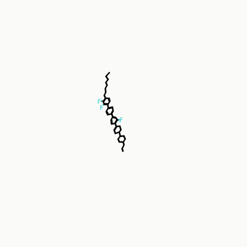 CCCCCCCCc1ccc(-c2ccc(-c3ccc(C4=CCC(C5CCC(CCC)CC5)CC4)c(F)c3)cc2)c(F)c1F